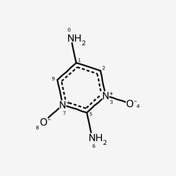 Nc1c[n+]([O-])c(N)[n+]([O-])c1